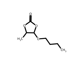 CCCCOC1OC(=O)OC1C